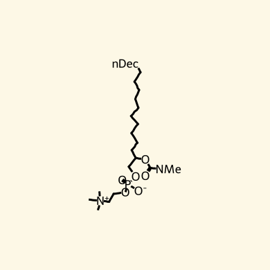 CCCCCCCCCCCCCCCCCCCCC(COP(=O)([O-])OCC[N+](C)(C)C)OC(=O)NC